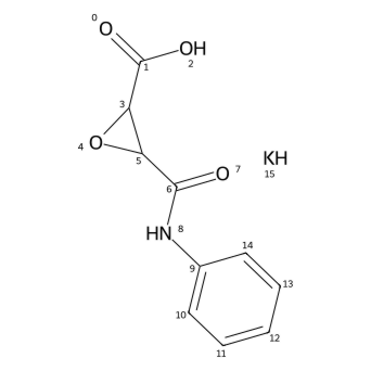 O=C(O)C1OC1C(=O)Nc1ccccc1.[KH]